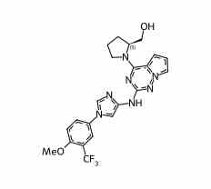 COc1ccc(-n2cnc(Nc3nc(N4CCC[C@H]4CO)c4cccn4n3)c2)cc1C(F)(F)F